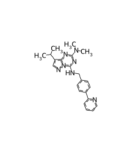 CC(C)c1cnn2c(NCc3ccc(-c4ccccn4)cc3)nc(N(C)C)nc12